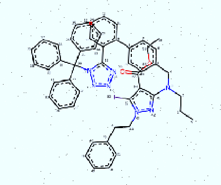 CCCN(Cc1ccc(-c2ccccc2-c2nnnn2C(c2ccccc2)(c2ccccc2)c2ccccc2)cc1)c1nn(CCc2ccccc2)c(I)c1C(=O)OCC